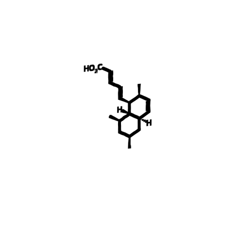 C[C@H]1C[C@@H](C)[C@@H]2[C@@H](/C=C/C=C/C(=O)O)[C@@H](C)C=C[C@H]2C1